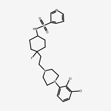 O=S(=O)(NC1CCC(F)(CCN2CCN(c3cccc(Cl)c3Cl)CC2)CC1)c1cccnc1